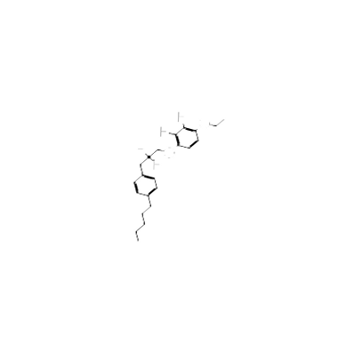 CCCCCc1ccc(CC(F)(F)COc2ccc(OCC)c(F)c2F)cc1